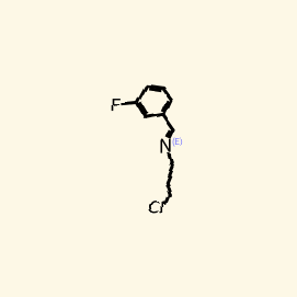 Fc1cccc(/C=N/CCCCl)c1